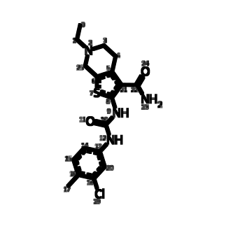 CCN1CCc2c(sc(NC(=O)Nc3ccc(C)c(Cl)c3)c2C(N)=O)C1